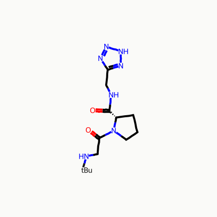 CC(C)(C)NCC(=O)N1CCC[C@H]1C(=O)NCc1nn[nH]n1